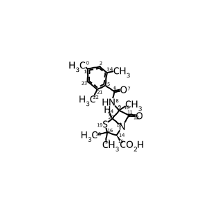 Cc1cc(C)c(C(=O)NC2(C)C(=O)N3[C@@H](C(=O)O)C(C)(C)S[C@@H]32)c(C)c1